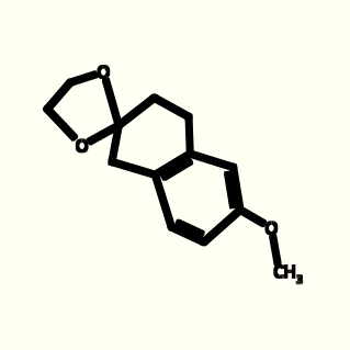 COc1ccc2c(c1)CCC1(C2)OCCO1